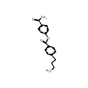 CCCCc1ccc(C(=O)Oc2ccc(C(C)=O)cc2)cc1